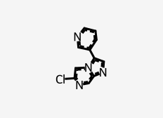 Clc1cn2c(-c3cccnc3)cnc2cn1